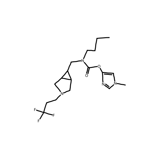 CCCCN(CC1C2CN(CCC(F)(F)F)CC21)C(=O)Oc1cn(C)cn1